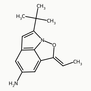 CC=c1on2c(C(C)(C)C)cc3cc(N)cc1c32